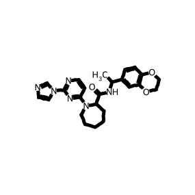 CC(NC(=O)C1CCCCCN1c1ccnc(-n2ccnc2)n1)c1ccc2c(c1)OCCO2